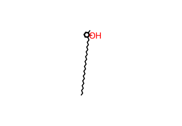 CCCCCCCCCCCCCCCCCCCCCCCCc1cccc(C)c1O